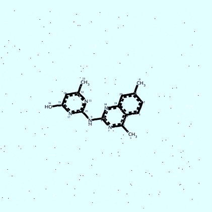 Cc1ccc2c(C)nc(Nc3nc(C)cc(O)n3)nc2c1